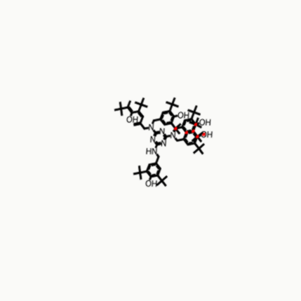 C=C(/C=C(\C(O)=C(/C)C(C)(C)C)C(C)(C)C)CN(Cc1cc(C(C)(C)C)c(O)c(C(C)(C)C)c1)c1nc(NCc2cc(C(C)(C)C)c(O)c(C(C)(C)C)c2)nc(N(Cc2cc(C(C)(C)C)c(O)c(C(C)(C)C)c2)Cc2cc(C(C)(C)C)c(O)c(C(C)(C)C)c2)n1